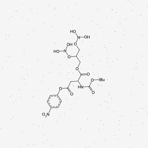 CC(C)(C)OC(=O)NC(CC(=O)Oc1ccc([N+](=O)[O-])cc1)C(=O)OCC(CON(O)O)ON(O)O